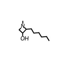 CCCCCCC1C(O)CN1C